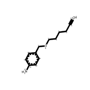 C#CCCCCOCc1ccc(N)cc1